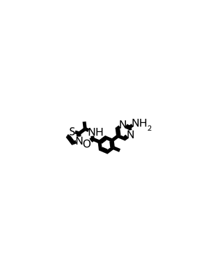 Cc1ccc(C(=O)NC(C)c2nccs2)cc1-c1cnc(N)nc1